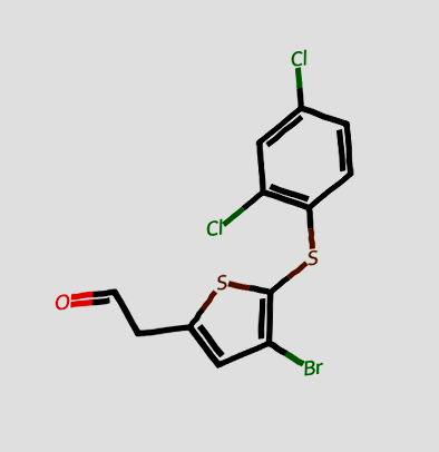 O=CCc1cc(Br)c(Sc2ccc(Cl)cc2Cl)s1